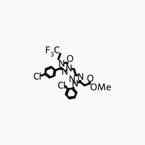 COC(=O)Cc1nc(Cn2nc(-c3ccc(Cl)cc3)n(CCC(F)(F)F)c2=O)nn1-c1ccccc1Cl